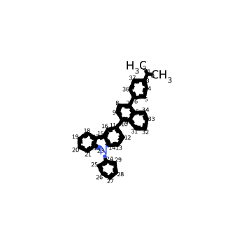 CC(C)c1ccc(-c2ccc(-c3ccc4c(c3)c3ccccc3n4-c3ccccc3)c3ccccc23)cc1